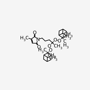 CC1=CC(=O)N(CCCC(C)(OOC2(C)CCC3CC2C3(C)C)OOC2(C)CCC3CC2C3(C)C)C1=O